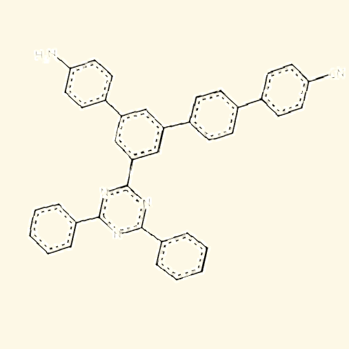 N#Cc1ccc(-c2ccc(-c3cc(-c4ccc(N)cc4)cc(-c4nc(-c5ccccc5)nc(-c5ccccc5)n4)c3)cc2)cc1